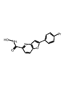 CC(C)c1ccc(-c2cc3nc(C(=O)NO)ccc3o2)cc1